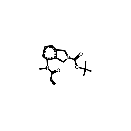 C=CC(=O)N(C)c1cccc2c1CN(C(=O)OC(C)(C)C)C2